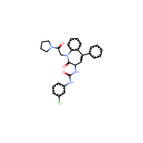 O=C(Nc1cccc(Cl)c1)NC1C=C(c2ccccc2)c2ccccc2N(CC(=O)N2CCCC2)C1=O